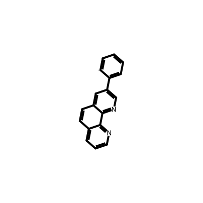 [c]1ccccc1-c1cnc2c(ccc3cccnc32)c1